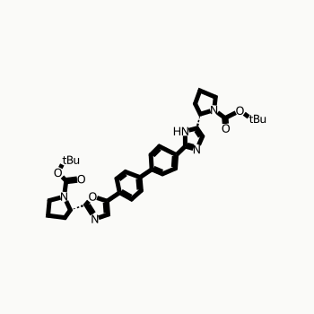 CC(C)(C)OC(=O)N1CCC[C@H]1c1cnc(-c2ccc(-c3ccc(-c4cnc([C@@H]5CCCN5C(=O)OC(C)(C)C)o4)cc3)cc2)[nH]1